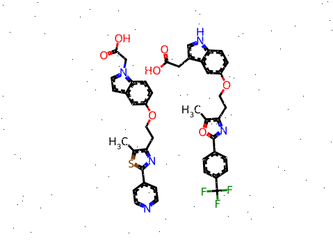 Cc1oc(-c2ccc(C(F)(F)F)cc2)nc1CCOc1ccc2[nH]cc(CC(=O)O)c2c1.Cc1sc(-c2ccncc2)nc1CCOc1ccc2c(ccn2CC(=O)O)c1